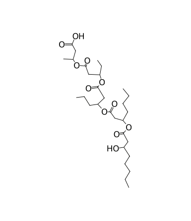 CCCCCC(O)CC(=O)OC(CCCC)CC(=O)OC(CCC)CC(=O)OC(CC)CC(=O)OC(C)CC(=O)O